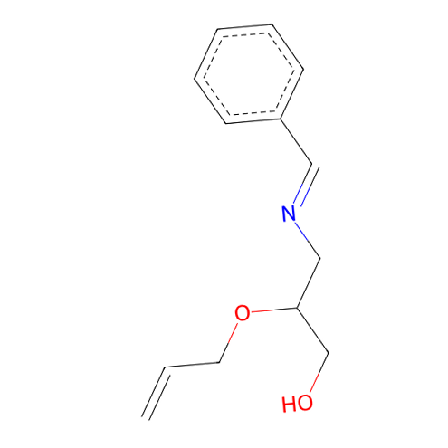 C=CCOC(CO)C/N=C/c1ccccc1